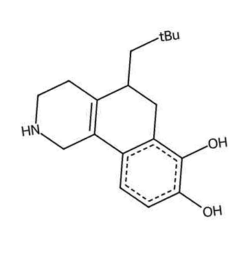 CC(C)(C)CC1Cc2c(ccc(O)c2O)C2=C1CCNC2